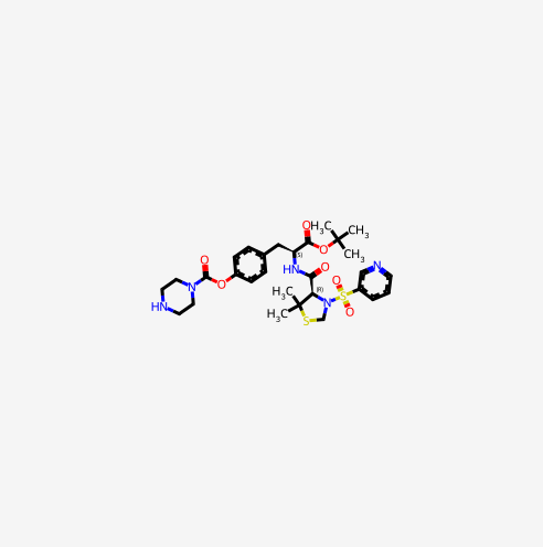 CC(C)(C)OC(=O)[C@H](Cc1ccc(OC(=O)N2CCNCC2)cc1)NC(=O)[C@H]1N(S(=O)(=O)c2cccnc2)CSC1(C)C